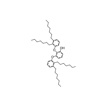 CCCCCCCc1cccc(Oc2cccc(O)c2Oc2cccc(CCCCCCC)c2CCCCCCC)c1CCCCCCC